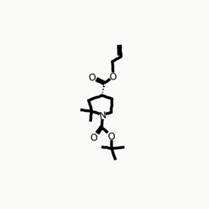 C=CCOC(=O)[C@@H]1CCN(C(=O)OC(C)(C)C)C(C)(C)C1